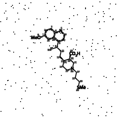 COc1ccc2nccc(C(F)CC[C@@H]3CCN(CCCSC)C[C@@H]3C(=O)O)c2c1